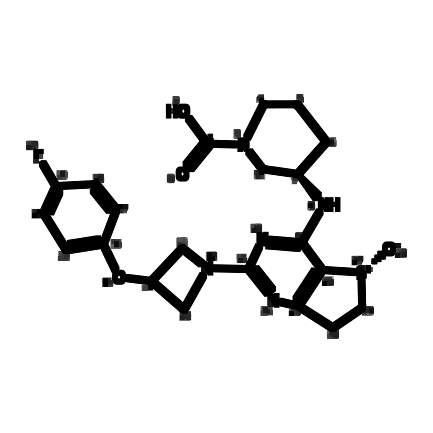 O=C(O)N1CCC[C@@H](Nc2nc(N3CC(Oc4ccc(F)cc4)C3)nc3c2[S@+]([O-])CC3)C1